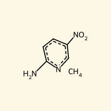 C.Nc1ccc([N+](=O)[O-])cn1